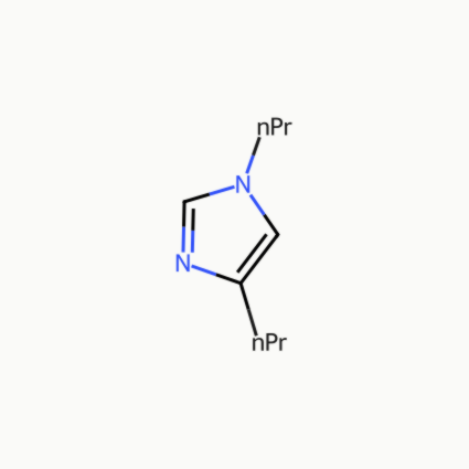 CCCc1cn(CCC)cn1